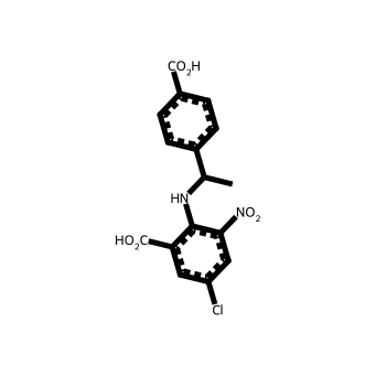 CC(Nc1c(C(=O)O)cc(Cl)cc1[N+](=O)[O-])c1ccc(C(=O)O)cc1